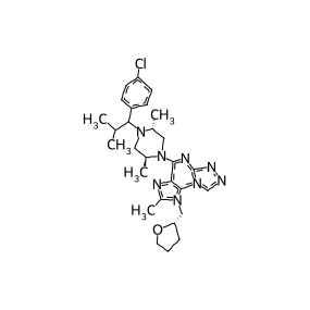 Cc1nc2c(N3C[C@@H](C)N(C(c4ccc(Cl)cc4)C(C)C)C[C@@H]3C)nc3nncn3c2n1C[C@@H]1CCCO1